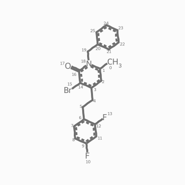 Cc1cc(CCc2ccc(F)cc2F)c(Br)c(=O)n1Cc1ccccc1